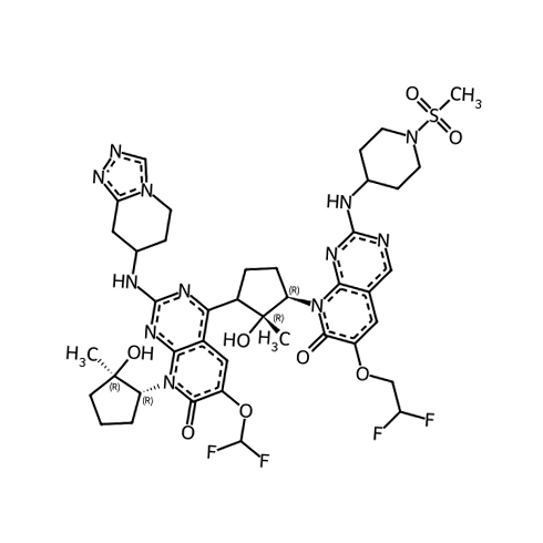 C[C@@]1(O)CCC[C@H]1n1c(=O)c(OC(F)F)cc2c(C3CC[C@@H](n4c(=O)c(OCC(F)F)cc5cnc(NC6CCN(S(C)(=O)=O)CC6)nc54)[C@]3(C)O)nc(NC3CCn4cnnc4C3)nc21